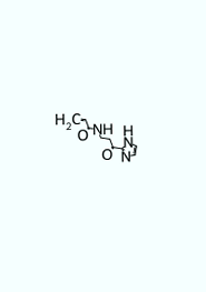 C=CC(=O)NCCC(=O)c1ncc[nH]1